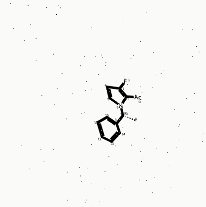 CC(=O)c1c(F)ccn1[C@H](C)c1ccccc1